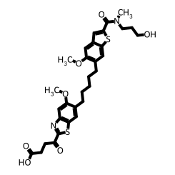 COc1cc2cc(C(=O)N(C)CCCO)sc2cc1CCCCCc1cc2sc(C(=O)CCC(=O)O)nc2cc1OC